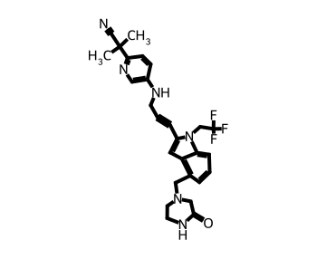 CC(C)(C#N)c1ccc(NCC#Cc2cc3c(CN4CCNC(=O)C4)cccc3n2CC(F)(F)F)cn1